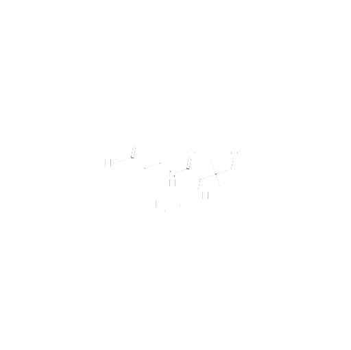 CC(C)(CO)C(O)C(=O)NCCC(=O)O.[CaH2]